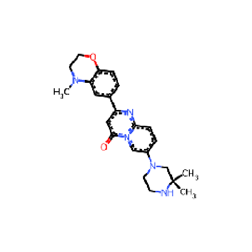 CN1CCOc2ccc(-c3cc(=O)n4cc(N5CCNC(C)(C)C5)ccc4n3)cc21